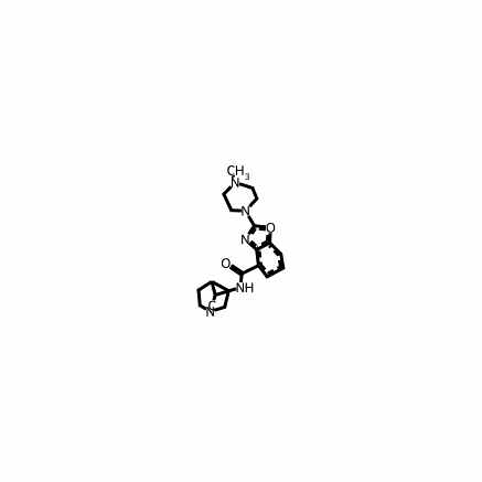 CN1CCN(c2nc3c(C(=O)NC4CN5CCC4CC5)cccc3o2)CC1